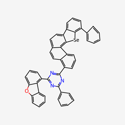 c1ccc(-c2nc(-c3cccc4c3ccc3ccc5c6cccc(-c7ccccc7)c6[se]c5c34)nc(-c3cccc4oc5ccccc5c34)n2)cc1